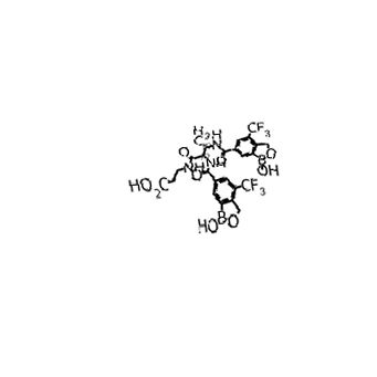 C[C@H](NC(=O)c1cc2c(c(C(F)(F)F)c1)COB2O)[C@H](NC(=O)c1cc2c(c(C(F)(F)F)c1)COB2O)C(=O)NCCC(=O)O